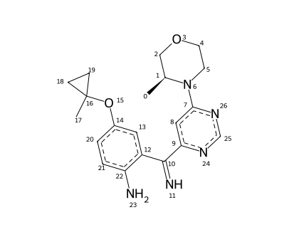 C[C@H]1COCCN1c1cc(C(=N)c2cc(OC3(C)CC3)ccc2N)ncn1